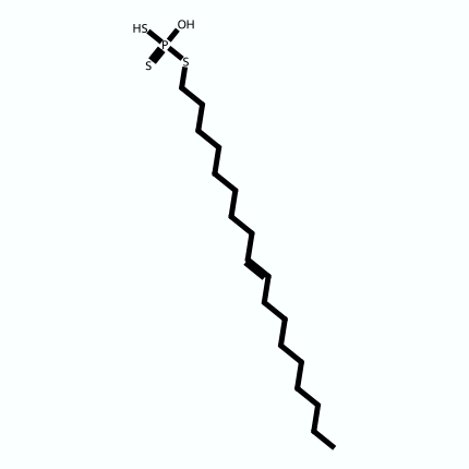 CCCCCCCCC=CCCCCCCCCSP(O)(=S)S